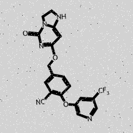 N#Cc1cc(COc2cc3n(c(=O)n2)CCN3)ccc1Oc1cncc(C(F)(F)F)c1